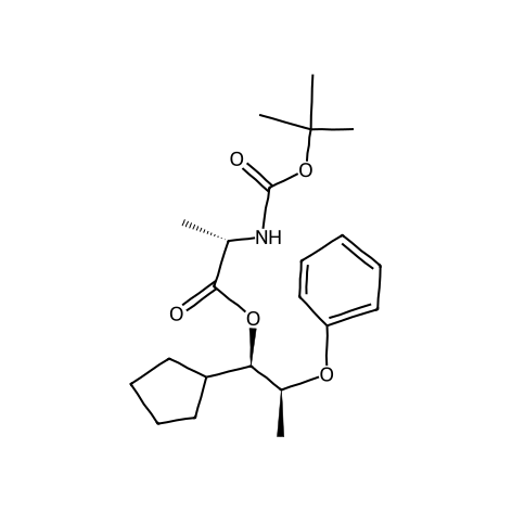 C[C@H](NC(=O)OC(C)(C)C)C(=O)O[C@H](C1CCCC1)[C@H](C)Oc1ccccc1